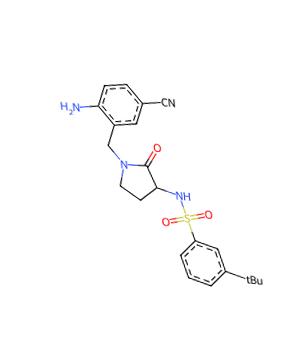 CC(C)(C)c1cccc(S(=O)(=O)NC2CCN(Cc3cc(C#N)ccc3N)C2=O)c1